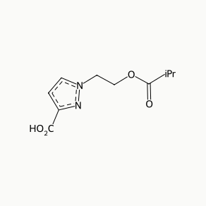 CC(C)C(=O)OCCn1ccc(C(=O)O)n1